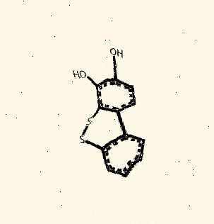 Oc1ccc2c(c1O)SSc1ccccc1-2